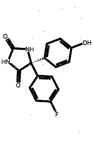 O=C1NC(=O)[C@](c2ccc(O)cc2)(c2ccc(F)cc2)N1